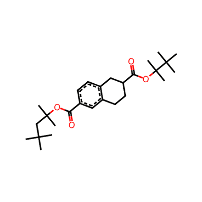 CC(C)(C)CC(C)(C)OC(=O)c1ccc2c(c1)CCC(C(=O)OC(C)(C)C(C)(C)C)C2